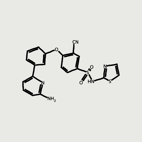 N#Cc1cc(S(=O)(=O)Nc2nccs2)ccc1Oc1cccc(-c2cccc(N)n2)c1